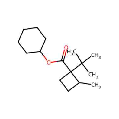 CC1CCC1(C(=O)OC1CCCCC1)C(C)(C)C